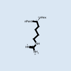 CCCCCC[C@@H](CCCCC)CCCCNC(=N)N